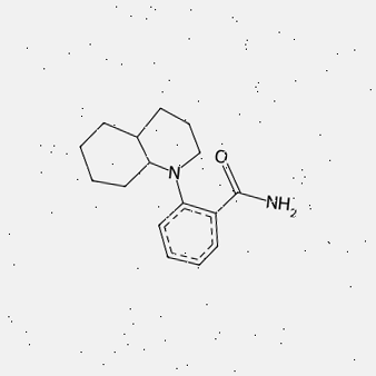 NC(=O)c1ccccc1N1CCCC2CCCCC21